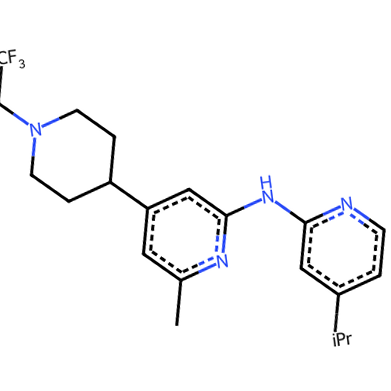 Cc1cc(C2CCN(CC(F)(F)F)CC2)cc(Nc2cc(C(C)C)ccn2)n1